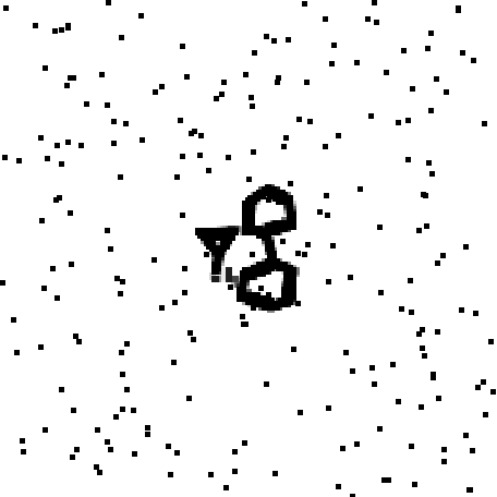 CC1C=C1.c1ccc(-c2ccccc2)cc1